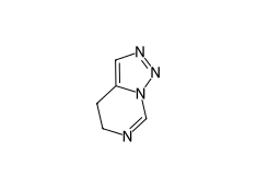 C1=NCCc2cnnn21